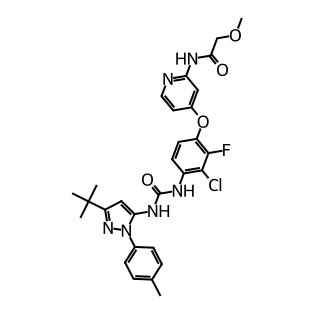 COCC(=O)Nc1cc(Oc2ccc(NC(=O)Nc3cc(C(C)(C)C)nn3-c3ccc(C)cc3)c(Cl)c2F)ccn1